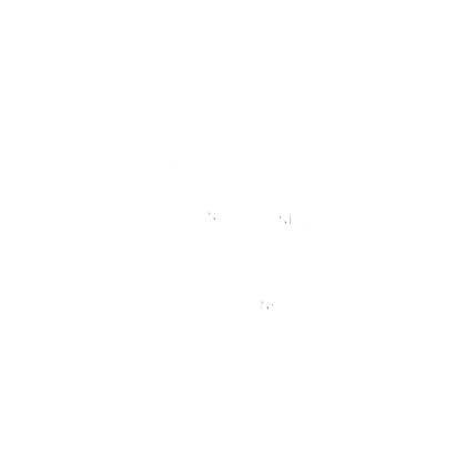 CCOn1ccc(N=O)c1N